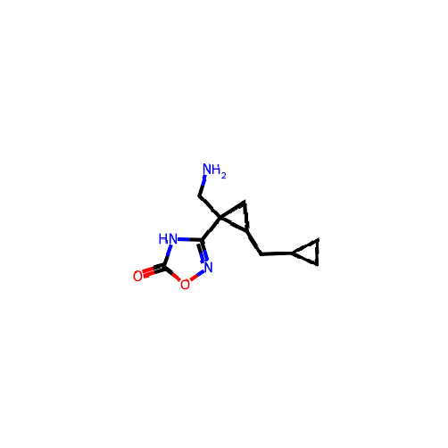 NCC1(c2noc(=O)[nH]2)CC1CC1CC1